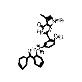 CCCn1cc(C)c2c(=O)[nH]c(-c3cc(S(=O)(=O)Nc4ccccc4C(=O)c4ccccc4)ccc3OCC)nc21